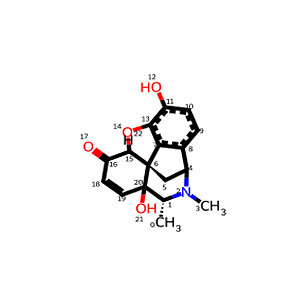 C[C@H]1N(C)C2C[C@]34c5c2ccc(O)c5O[C@H]3C(=O)C=CC14O